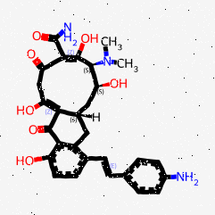 CN(C)[C@@H]1/C(O)=C(/C(N)=O)C(=O)C/C(O)=C2/C(=O)c3c(O)ccc(/C=C/c4ccc(N)cc4)c3C[C@H]2C[C@@H]1O